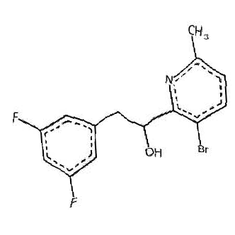 Cc1ccc(Br)c(C(O)Cc2cc(F)cc(F)c2)n1